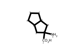 NC1(C(=O)O)CC2CCCC2C1